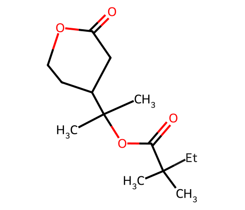 CCC(C)(C)C(=O)OC(C)(C)C1CCOC(=O)C1